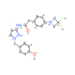 COc1ccc(Cn2ccc(NC(=O)Cc3ccc(N4CC(F)(F)C4)cc3)n2)cc1